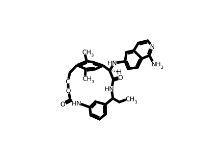 CCC1NC(=O)[C@H](Nc2ccc3c(N)nccc3c2)c2cc(C)c(c(C)c2)CCOC(=O)Nc2cccc1c2